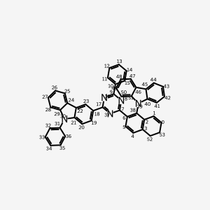 C1=Cc2c(ccc(-c3nc(-c4ccccc4)nc(-c4ccc5c(c4)c4ccccc4n5-c4ccccc4)n3)c2-n2c3ccccc3c3ccccc32)CC1